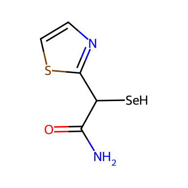 NC(=O)C([SeH])c1nccs1